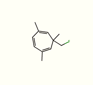 CC1=CC(C)(CF)C=C(C)C=C1